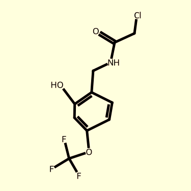 O=C(CCl)NCc1ccc(OC(F)(F)F)cc1O